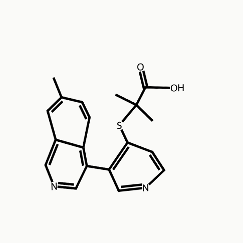 Cc1ccc2c(-c3cnccc3SC(C)(C)C(=O)O)cncc2c1